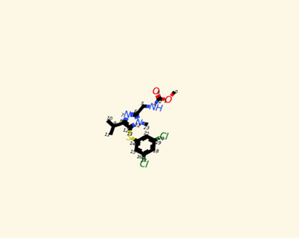 COC(=O)NCc1nc(C(C)C)c(Sc2cc(Cl)cc(Cl)c2)n1C